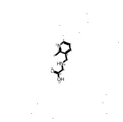 Cc1ncccc1CNCC(=O)O